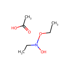 CC(=O)O.CCON(O)CC